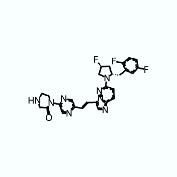 O=C1CNCCN1c1cnc(/C=C/c2cnc3ccc(N4C[C@@H](F)C[C@@H]4Cc4cc(F)ccc4F)nn23)cn1